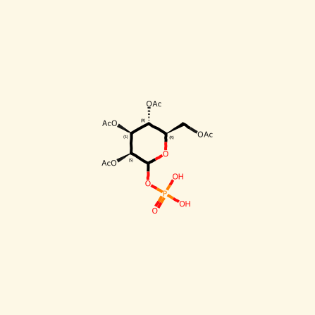 CC(=O)OC[C@H]1OC(OP(=O)(O)O)[C@@H](OC(C)=O)[C@@H](OC(C)=O)[C@@H]1OC(C)=O